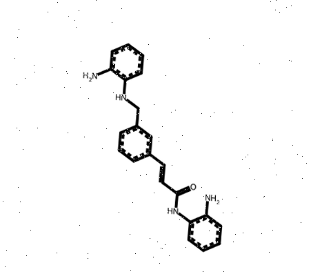 Nc1ccccc1NCc1cccc(C=CC(=O)Nc2ccccc2N)c1